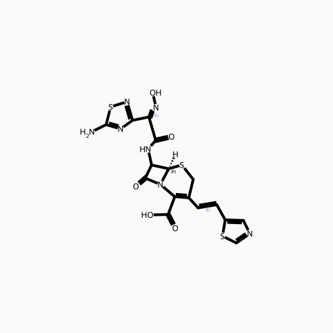 Nc1nc(/C(=N\O)C(=O)NC2C(=O)N3C(C(=O)O)=C(/C=C/c4cncs4)CS[C@H]23)ns1